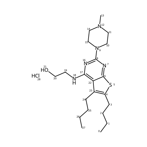 CCCCc1sc2nc(N3CCN(C)CC3)nc(NCCO)c2c1CCCC.Cl